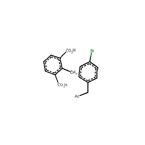 CC(=O)Cc1ccc(Br)cc1.Cc1c(C(=O)O)cccc1C(=O)O